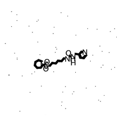 O=C(NCCCCCCS(=O)(=O)N1CCCCCC1)NCc1cccnc1